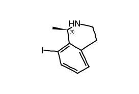 C[C@H]1NCCc2cccc(I)c21